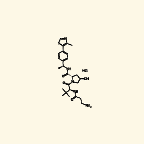 Cc1ncsc1-c1ccc([C@H](C)NC(=O)[C@@H]2C[C@@H](O)CN2C(=O)[C@@H](NC(=O)CCN)C(C)(C)C)cc1.Cl